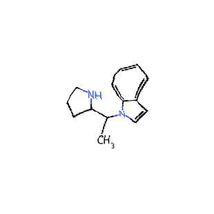 CC(C1CCCN1)n1ccc2ccccc21